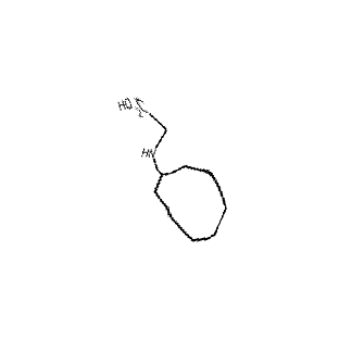 O=C(O)CNC1CCCCCCC1